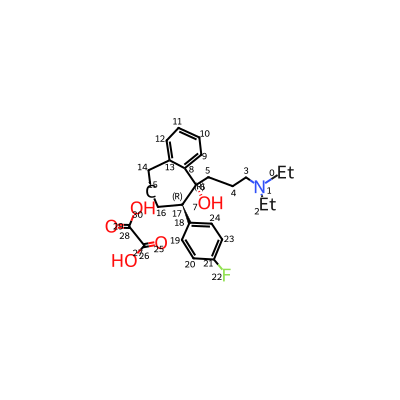 CCN(CC)CCC[C@]1(O)c2ccccc2CCC[C@@H]1c1ccc(F)cc1.O=C(O)C(=O)O